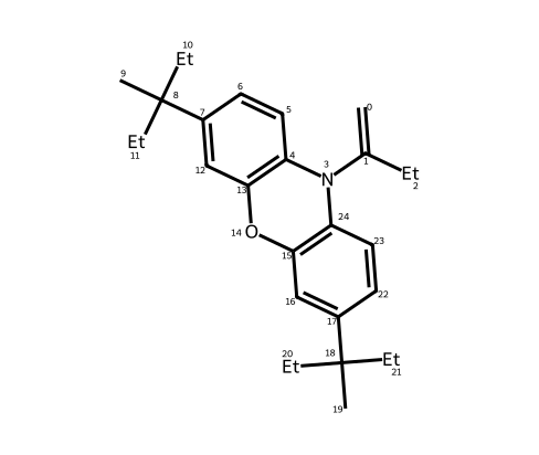 C=C(CC)N1c2ccc(C(C)(CC)CC)cc2Oc2cc(C(C)(CC)CC)ccc21